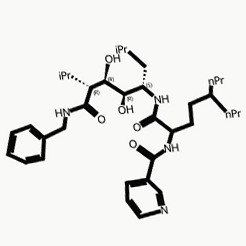 CCCC(CCC)CCC(NC(=O)c1cccnc1)C(=O)N[C@@H](CC(C)C)[C@@H](O)[C@H](O)[C@H](C(=O)NCc1ccccc1)C(C)C